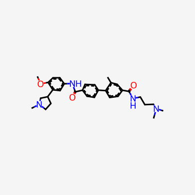 COc1ccc(NC(=O)c2ccc(-c3ccc(C(=O)NCCCN(C)C)cc3C)cc2)cc1C1CCN(C)C1